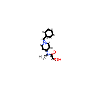 CN(C(=O)CO)C1CCN(CC2CCCCC2)CC1